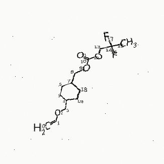 C=COCC1CCC(COC(=O)OCC(C)(F)F)CC1